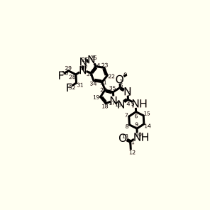 COc1nc(NC2CCC(NC(C)=O)CC2)nn2ccc(-c3ccc4nnn(C(CF)CF)c4c3)c12